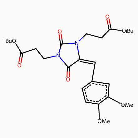 COc1ccc(/C=C2\C(=O)N(CCC(=O)OCC(C)C)C(=O)N2CCC(=O)OCC(C)C)cc1OC